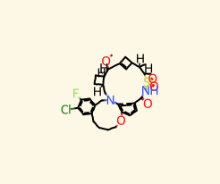 CO[C@H]1C2=CC(C2)[C@H](C)[C@@H](C)S(=O)(=O)NC(=O)c2ccc3c(c2)N(Cc2cc(F)c(Cl)cc2CCCCO3)C[C@@H]2CC[C@H]21